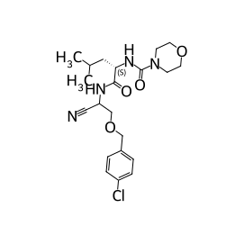 CC(C)C[C@H](NC(=O)N1CCOCC1)C(=O)NC(C#N)COCc1ccc(Cl)cc1